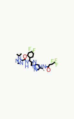 CC(C)n1ncnc1C(=O)N[C@H](c1cn2ncc([C@@H](C)NC(=O)CCC(F)(F)F)cc2n1)C1CCC(F)(F)CC1